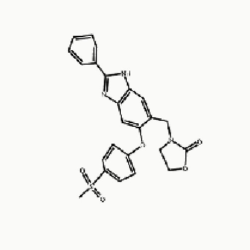 CS(=O)(=O)c1ccc(Oc2cc3nc(-c4ccccc4)[nH]c3cc2CN2CCOC2=O)cc1